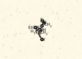 CCOC(=O)C1=C(c2ccc(-n3c(C)nc4cnccc43)cc2)NC(C)=C(C(=O)OCC#Cc2cccnc2)C1C(C)c1ccccc1